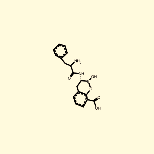 NC(Cc1ccccc1)C(=O)N[C@H]1Cc2cccc(C(=O)O)c2OB1O